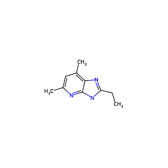 CCC1=Nc2c(C)cc(C)nc2[N]1